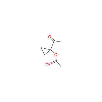 CC(=O)OC1(C(C)=O)CC1